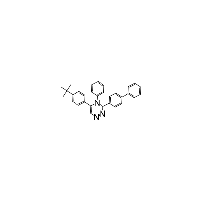 CC(C)(C)c1ccc(C2=CN=NC(c3ccc(-c4ccccc4)cc3)N2c2ccccc2)cc1